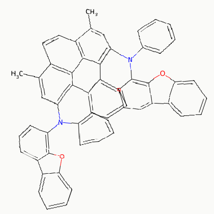 Cc1cc(N(c2ccccc2)c2cccc3c2oc2ccccc23)c2c3ccccc3c3c(N(c4ccccc4)c4cccc5c4oc4ccccc45)cc(C)c4ccc1c2c43